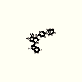 O=C1NCc2c(-c3c[nH]c4ccccc34)ncc(Nc3ccc(N4CC5CCC(C4)O5)cn3)c21